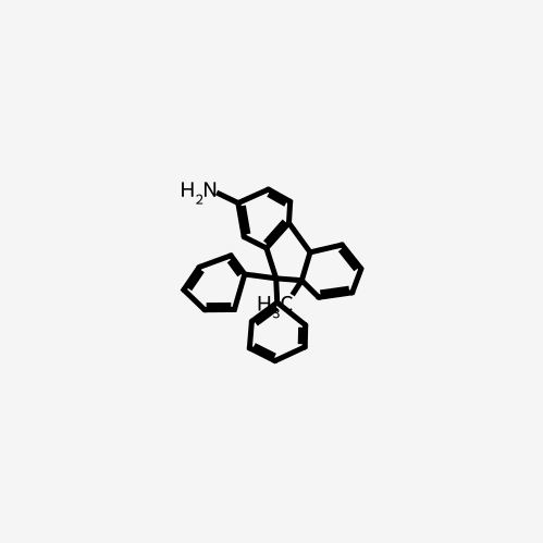 CC12C=CC=CC1c1ccc(N)cc1C2(c1ccccc1)c1ccccc1